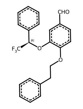 O=Cc1ccc(OCCc2ccccc2)c(O[C@H](c2ccccc2)C(F)(F)F)c1